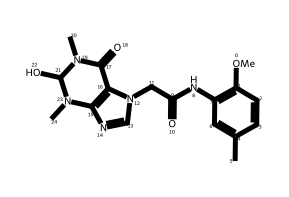 COc1ccc(C)cc1NC(=O)Cn1cnc2c1C(=O)N(C)C(O)N2C